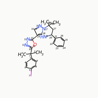 CC(C)(c1ccc(I)cc1)c1nnc(-c2cnn3c2NC(c2ccccc2)CC3(C)C)o1